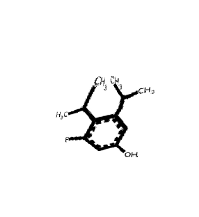 CC(C)c1cc(O)cc(F)c1C(C)C